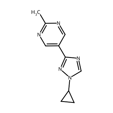 Cc1ncc(-c2ncn(C3CC3)n2)cn1